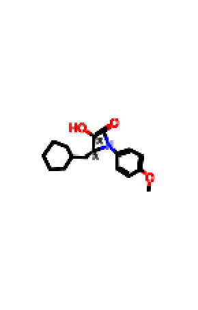 COc1ccc(N2C(=O)[C@H](O)[C@@H]2CC2CCCCC2)cc1